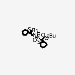 CC(C)(C)OC(=O)c1c(NC(=O)NCc2c(Br)sc3c2CCCC3)sc2c1CCCCC2